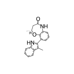 Cc1c(-c2cccc3c2O[C@H](C)CC(=O)N3)[nH]c2ccccc12